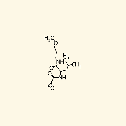 COCCCNC(=O)C(CC(C)C)NC(=O)C1CO1